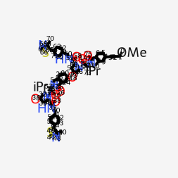 COCC#Cc1ccc2c(c1)CN([C@H](C(=O)N1C[C@H](Oc3ccc4c(c3)C(=O)N([C@H](C(=O)N3CC(=O)C[C@H]3C(=O)NCc3ccc(-c5scnc5C)cc3)C(C)C)C4)C[C@H]1C(=O)NCc1ccc(-c3scnc3C)cc1)C(C)C)C2=O